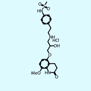 COc1ccc(OCC(O)CNCCc2ccc(NS(C)(=O)=O)cc2)c2c1NC(=O)CC2.Cl